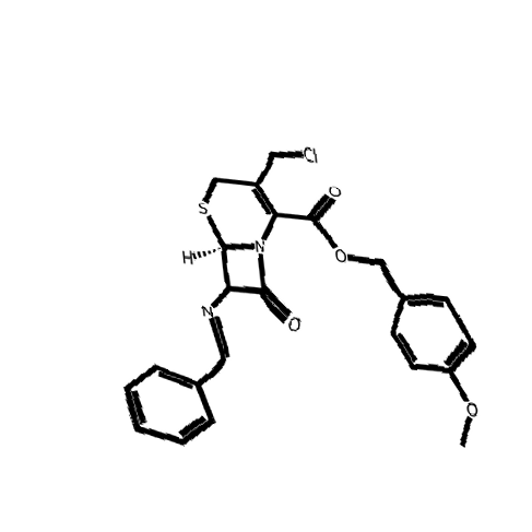 COc1ccc(COC(=O)C2=C(CCl)CS[C@@H]3C(/N=C/c4ccccc4)C(=O)N23)cc1